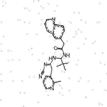 Cc1ncccc1C/C(=N\C#N)NC(NC(=O)Cc1ccc2ncccc2c1)C(C)(C)C